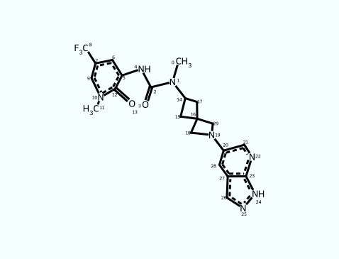 CN(C(=O)Nc1cc(C(F)(F)F)cn(C)c1=O)C1CC2(C1)CN(c1cnc3[nH]ncc3c1)C2